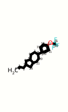 C=CCC1CC2CCC(c3ccc(OC(F)(F)F)cc3)CCC2C1